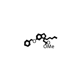 C=CCCCC1(CC(=O)OC)CCc2ccc(OCc3ccccc3)cc21